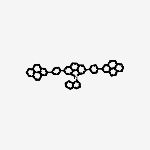 c1ccc2c(-n3c4cc(-c5ccc(-c6cc7ccc8cccc9ccc(c6)c7c89)cc5)cc5ccc6cc(-c7ccc(-c8cc9ccc%10cccc%11ccc(c8)c9c%10%11)cc7)cc3c6c54)cccc2c1